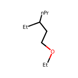 CCCC(CC)CCOCC